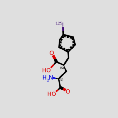 N[C@@H](C[C@H](Cc1ccc([125I])cc1)C(=O)O)C(=O)O